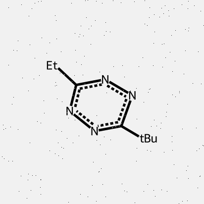 CCc1nnc(C(C)(C)C)nn1